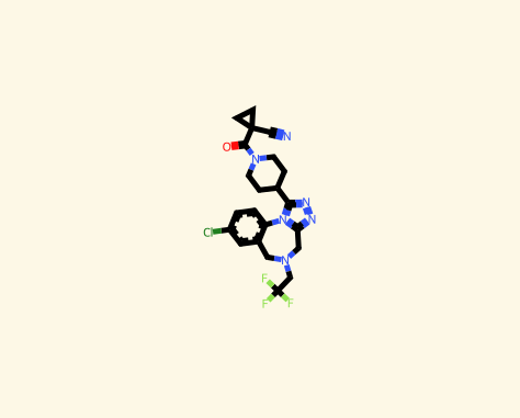 N#CC1(C(=O)N2CCC(c3nnc4n3-c3ccc(Cl)cc3CN(CC(F)(F)F)C4)CC2)CC1